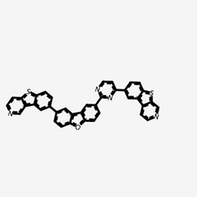 c1cc2c(cn1)sc1ccc(-c3ccnc(-c4ccc5oc6ccc(-c7ccc8sc9ccncc9c8c7)cc6c5c4)n3)cc12